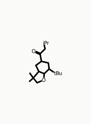 CC(C)CC(=O)C1CC(C(C)(C)C)C2OCC(C)(C)C2C1